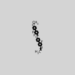 C=CCOc1ccc(-c2ccc(OCc3ccc(-c4ccc(OCC)cc4)c(F)c3F)cc2)c(F)c1